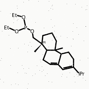 CCOP(OCC)OC[C@]1(C)CCCC2(C)C3CCC(C(C)C)=CC3=CCC21